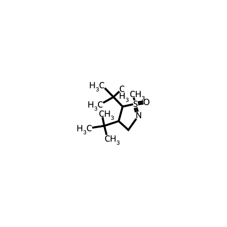 CC(C)(C)C1CN=S(C)(=O)C1C(C)(C)C